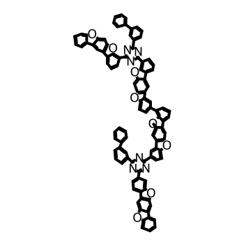 c1ccc(-c2cccc(-c3nc(-c4ccc5c(c4)oc4cc6c(cc45)oc4ccccc46)nc(-c4ccc5oc6cc7c(cc6c5c4)oc4c(-c5ccc6oc8cc9oc%10c(-c%11nc(-c%12cccc(-c%13ccccc%13)c%12)nc(-c%12cccc%13c%12oc%12cc%14oc%15ccccc%15c%14cc%12%13)n%11)cccc%10c9cc8c6c5)cccc47)n3)c2)cc1